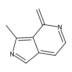 C=c1nccc2c1=C(C)N=C2